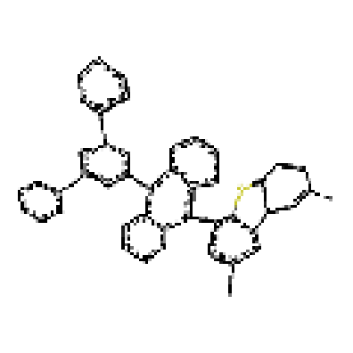 CC1=CC2c3cc(C)cc(-c4c5ccccc5c(-c5cc(-c6ccccc6)cc(-c6ccccc6)c5)c5ccccc45)c3SC2C=C1